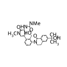 CNC(=O)Nc1cc(-c2cccc(N3CCc4cc(C(C)(C)O)ccc4C3=O)c2CO)cn(C)c1=O